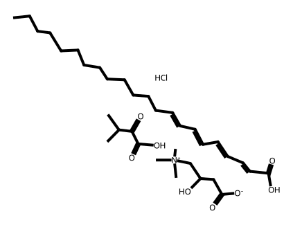 CC(C)C(=O)C(=O)O.CCCCCCCCCCCCCC=CC=CC=CC=CC(=O)O.C[N+](C)(C)CC(O)CC(=O)[O-].Cl